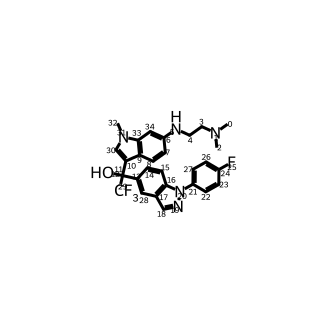 CN(C)CCNc1ccc2c(C(O)(c3ccc4c(cnn4-c4ccc(F)cc4)c3)C(F)(F)F)cn(C)c2c1